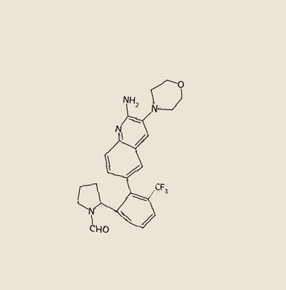 Nc1nc2ccc(-c3c(C4CCCN4C=O)cccc3C(F)(F)F)cc2cc1N1CCOCC1